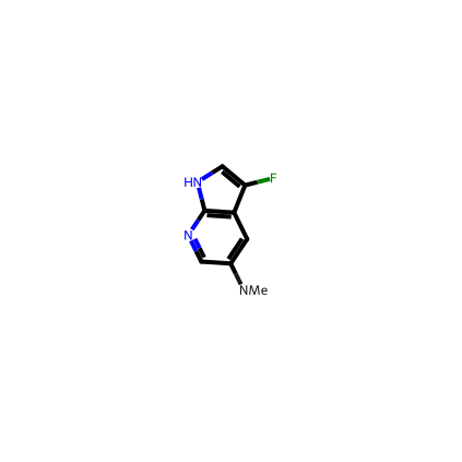 CNc1cnc2[nH]cc(F)c2c1